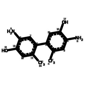 Nc1cc(C(F)(F)F)c(-c2cc(N)c(O)cc2C(F)(F)F)cc1O